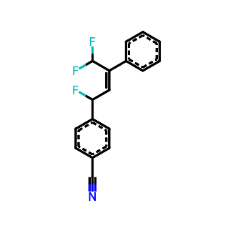 N#Cc1ccc(C(F)C=C(c2ccccc2)C(F)F)cc1